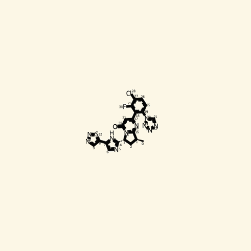 C[C@H]1C[C@H](c2ncc(-c3cnns3)[nH]2)n2c1nc(-c1c(-n3cnnn3)ccc(Cl)c1F)cc2=O